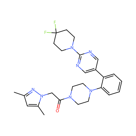 Cc1cc(C)n(CC(=O)N2CCN(c3ccccc3-c3cnc(N4CCC(F)(F)CC4)nc3)CC2)n1